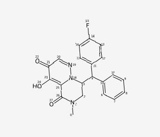 CN1CC(C(c2ccccc2)c2ccc(F)cc2)n2ncc(=O)c(O)c2C1=O